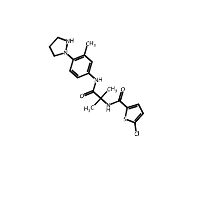 Cc1cc(NC(=O)C(C)(C)NC(=O)c2ccc(Cl)s2)ccc1N1CCCN1